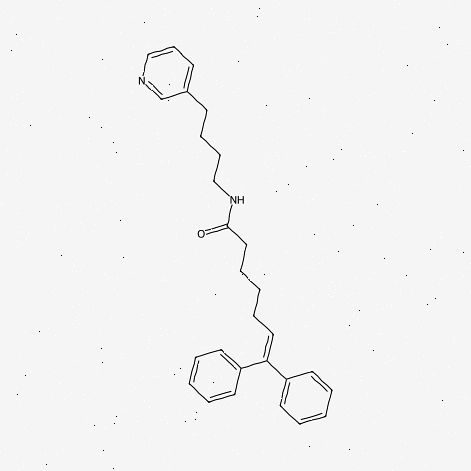 O=C(CCCCC=C(c1ccccc1)c1ccccc1)NCCCCc1cccnc1